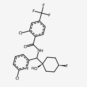 O=C(NC(c1cccc(Cl)n1)[C@]1(O)CC[C@@H](F)CC1)c1ccc(C(F)(F)F)cc1Cl